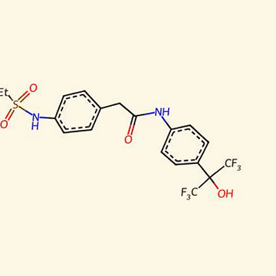 CCS(=O)(=O)Nc1ccc(CC(=O)Nc2ccc(C(O)(C(F)(F)F)C(F)(F)F)cc2)cc1